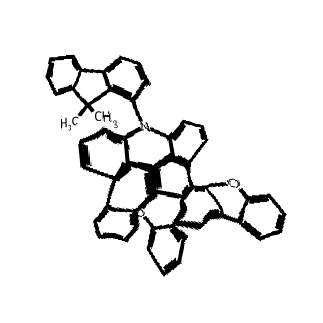 CC1(C)c2ccccc2-c2cccc(N(c3ccccc3-c3cccc4c3oc3ccccc34)c3cccc(-c4cccc5c4oc4ccccc45)c3-c3ccc4ccccc4c3)c21